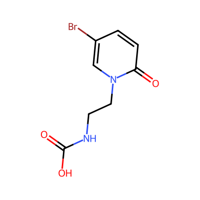 O=C(O)NCCn1cc(Br)ccc1=O